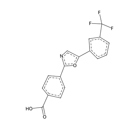 O=C(O)c1ccc(-c2ncc(-c3cccc(C(F)(F)F)c3)o2)cc1